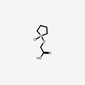 O=C(O)CO[Si]1(Cl)CCCC1